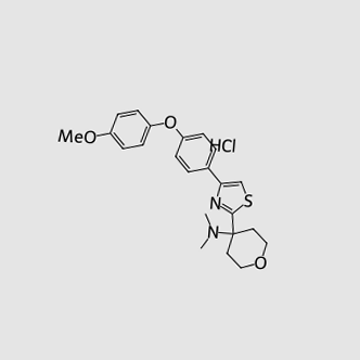 COc1ccc(Oc2ccc(-c3csc(C4(N(C)C)CCOCC4)n3)cc2)cc1.Cl